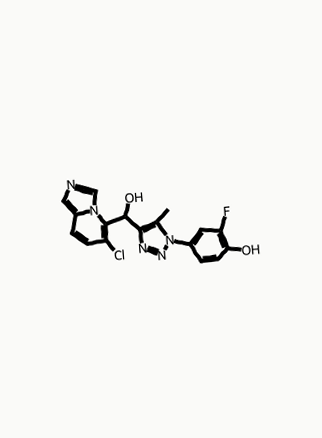 Cc1c(C(O)c2c(Cl)ccc3cncn23)nnn1-c1ccc(O)c(F)c1